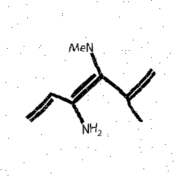 C=C/C(N)=C(\NC)C(=C)C